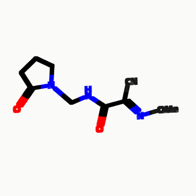 CO/N=C(\C#N)C(=O)NCN1CCCC1=O